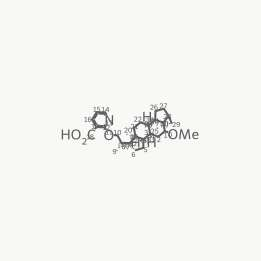 COC1C[C@H]2[C@@H]3CC[C@H]([C@H](C)COc4ncccc4C(=O)O)[C@@]3(C)CC[C@@H]2[C@@]2(C)CCC3C[C@]312